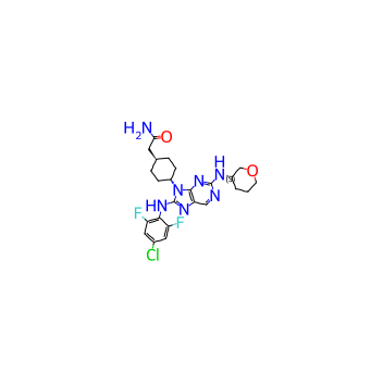 NC(=O)C[C@H]1CC[C@@H](n2c(Nc3c(F)cc(Cl)cc3F)nc3cnc(N[C@H]4CCCOC4)nc32)CC1